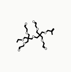 C=C(C)COCC(COCC=O)(COCC=O)COCC(COCC)(COCC=O)COCC=O